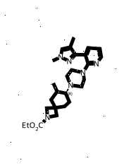 CCOC(=O)N1CC2(CC[C@@H](N3CCN(c4ncccc4-c4nn(C)cc4C)CC3)C(C)C2)C1